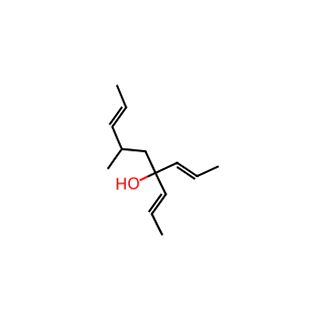 CC=CC(C)CC(O)(C=CC)C=CC